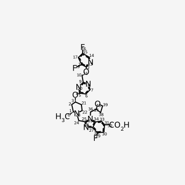 C[C@H]1C[C@@H](Oc2ccnc(COc3ncc(F)cc3F)n2)CCN1Cc1nc2c(F)cc(C(=O)O)cc2n1CC1CCO1